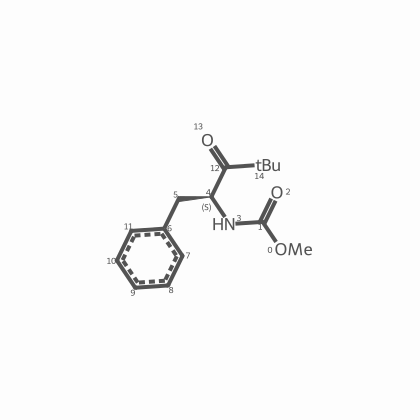 COC(=O)N[C@@H](Cc1ccccc1)C(=O)C(C)(C)C